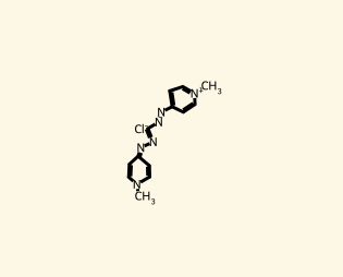 Cn1ccc(=NN=CN=Nc2cc[n+](C)cc2)cc1.[Cl-]